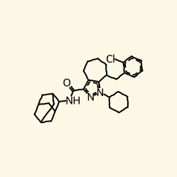 O=C(NC1C2CC3CC(C2)CC1C3)c1nn(C2CCCCC2)c2c1CCCCC2Cc1ccccc1Cl